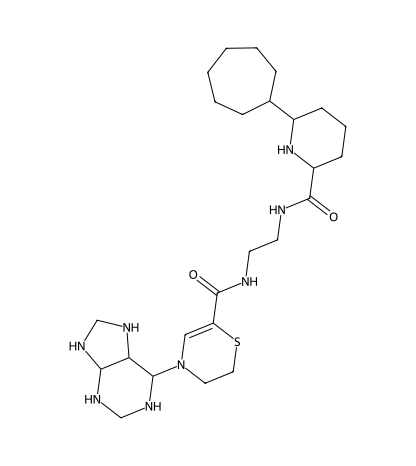 O=C(NCCNC(=O)C1CCCC(C2CCCCCC2)N1)C1=CN(C2NCNC3NCNC32)CCS1